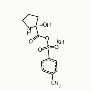 Cc1ccc(S(=O)(=O)OC(=O)[C@]2(O)CCCN2)cc1.[KH]